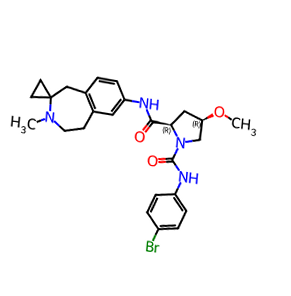 CO[C@@H]1C[C@H](C(=O)Nc2ccc3c(c2)CCN(C)C2(CC2)C3)N(C(=O)Nc2ccc(Br)cc2)C1